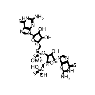 COP(=S)(OC[C@H]1O[C@@H](n2cnc3c(=S)[nH]c(N)nc32)C(O)C1O)OC1C(O)[C@H](n2cnc3c(=S)[nH]c(N)nc32)O[C@@H]1COP(O)(O)=S